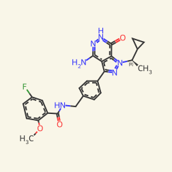 COc1ccc(F)cc1C(=O)NCc1ccc(-c2nn([C@H](C)C3CC3)c3c(=O)[nH]nc(N)c23)cc1